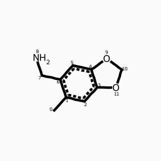 Cc1cc2c(cc1CN)OCO2